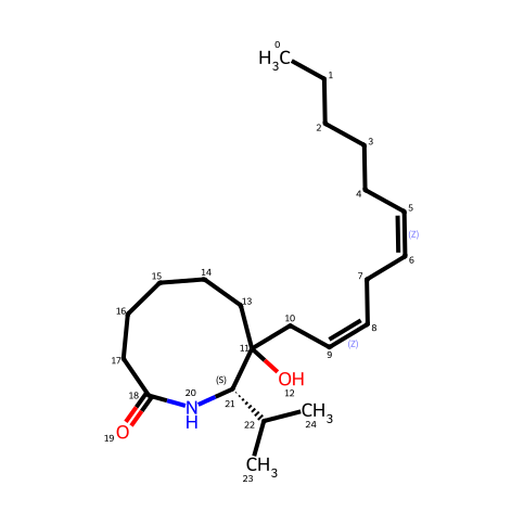 CCCCC/C=C\C/C=C\CC1(O)CCCCCC(=O)N[C@H]1C(C)C